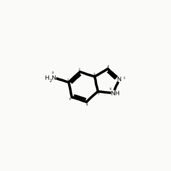 NC1=CC2C=NNC2C=C1